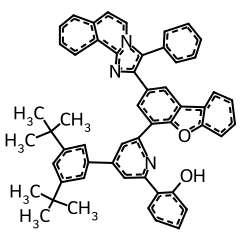 CC(C)(C)c1cc(-c2cc(-c3ccccc3O)nc(-c3cc(-c4nc5c6ccccc6ccn5c4-c4ccccc4)cc4c3oc3ccccc34)c2)cc(C(C)(C)C)c1